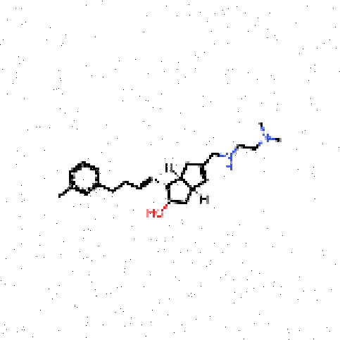 Cc1cccc(CC/C=C/[C@@H]2[C@H]3CC(CNCCN(C)C)=C[C@H]3C[C@H]2O)c1